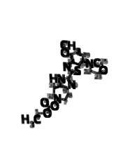 CCOC(=O)ON1CCc2nc(-c3nc4c(OC)ccc(N5CCOCC5)c4s3)[nH]c2CC1